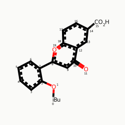 CCC(C)Oc1ccccc1-c1cc(=O)c2cc(C(=O)O)ccc2o1